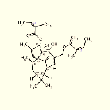 C=C(OCC1=C[C@@H]2C(=O)[C@]3(C=C(C)[C@H](OC(=O)/C(C)=C\C)[C@@]3(O)[C@@H]1O)[C@H](C)C[C@@H]1[C@H]2C1(C)C)/C(C)=C\C